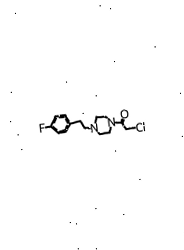 O=C(CCl)N1CCN(CCc2ccc(F)cc2)CC1